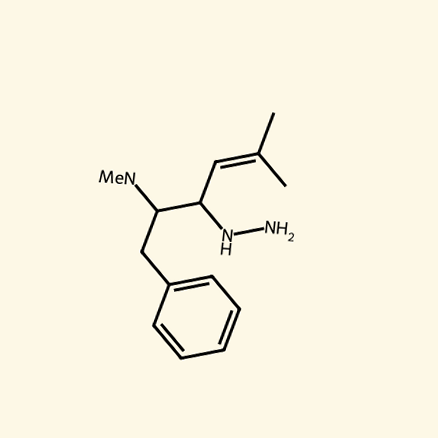 CNC(Cc1ccccc1)C(C=C(C)C)NN